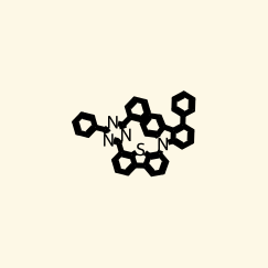 c1ccc(-c2nc(-c3ccccc3)nc(-c3cccc4c3sc3c(-n5c6ccccc6c6c(-c7ccccc7)cccc65)cccc34)n2)cc1